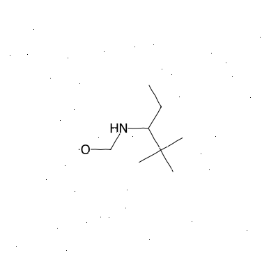 CCC(NC[O])C(C)(C)C